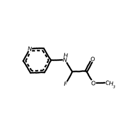 COC(=O)C(F)Nc1cccnc1